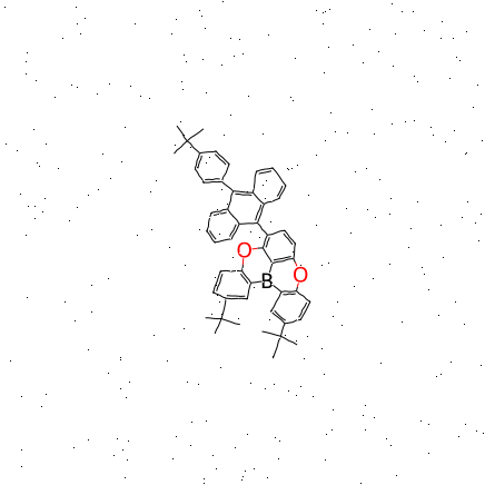 CC(C)(C)c1ccc(-c2c3ccccc3c(-c3ccc4c5c3Oc3ccc(C(C)(C)C)cc3B5c3cc(C(C)(C)C)ccc3O4)c3ccccc23)cc1